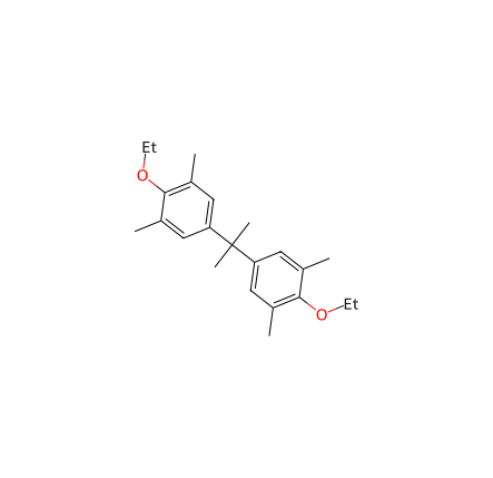 CCOc1c(C)cc(C(C)(C)c2cc(C)c(OCC)c(C)c2)cc1C